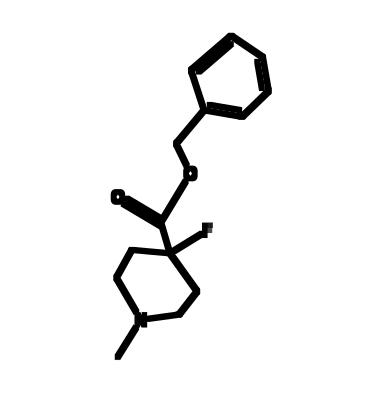 CN1CCC(F)(C(=O)OCc2ccccc2)CC1